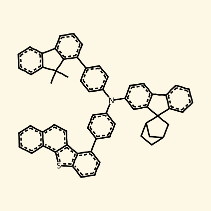 CC1(C)c2ccccc2-c2cccc(-c3ccc(N(c4ccc(-c5cccc6sc7c8ccccc8ccc7c56)cc4)c4ccc5c(c4)C4(CC6CCC4C6)c4ccccc4-5)cc3)c21